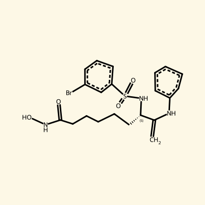 C=C(Nc1ccccc1)[C@H](CCCCCC(=O)NO)NS(=O)(=O)c1cccc(Br)c1